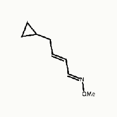 CON=CC=CCC1[CH]C1